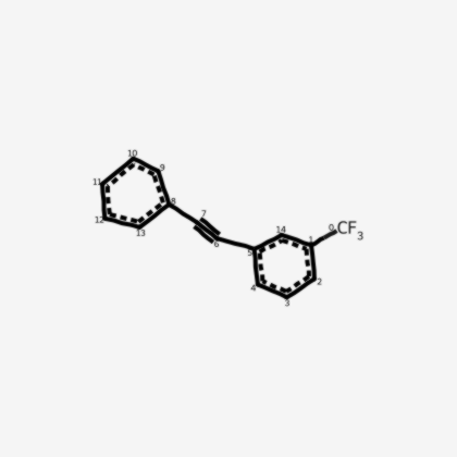 FC(F)(F)c1cccc(C#Cc2ccccc2)c1